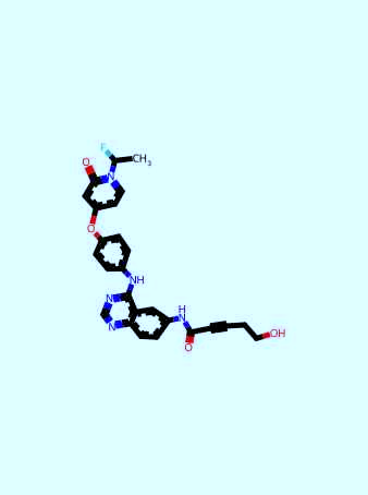 CC(F)n1ccc(Oc2ccc(Nc3ncnc4ccc(NC(=O)C#CCCO)cc34)cc2)cc1=O